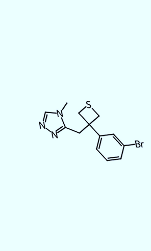 Cn1cnnc1CC1(c2cccc(Br)c2)CSC1